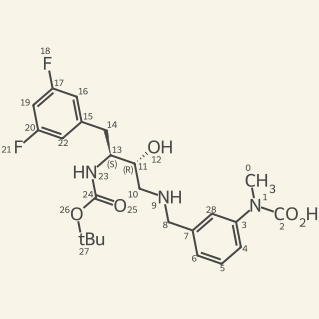 CN(C(=O)O)c1cccc(CNC[C@@H](O)[C@H](Cc2cc(F)cc(F)c2)NC(=O)OC(C)(C)C)c1